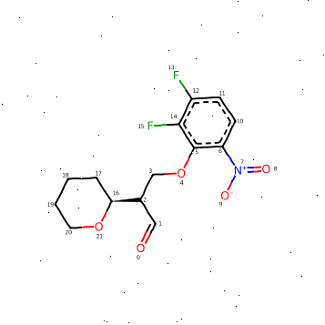 O=CC(COc1c([N+](=O)[O-])ccc(F)c1F)[C@@H]1CCCCO1